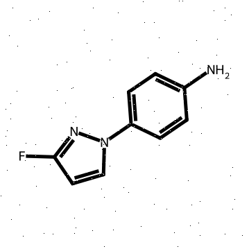 Nc1ccc(-n2ccc(F)n2)cc1